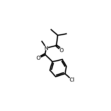 CC(C)C(=O)N(C)C(=O)c1ccc(Cl)cc1